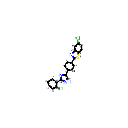 Clc1ccc2sc(-c3ccc(-c4c[nH]c(-c5ccccc5Cl)n4)cc3)nc2c1